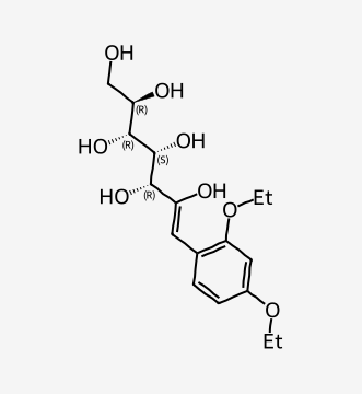 CCOc1ccc(C=C(O)[C@H](O)[C@@H](O)[C@H](O)[C@H](O)CO)c(OCC)c1